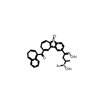 CCn1c2c(c3cc(/C(CC(C)N(OC(C)=O)C(C)=O)=N/OC(C)=O)ccc31)C=C(C(=O)C1=c3ccccc3=CCC=C1)CC=C2